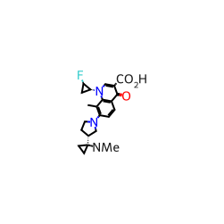 CNC1([C@@H]2CCN(c3ccc4c(=O)c(C(=O)O)cn([C@@H]5C[C@H]5F)c4c3C)C2)CC1